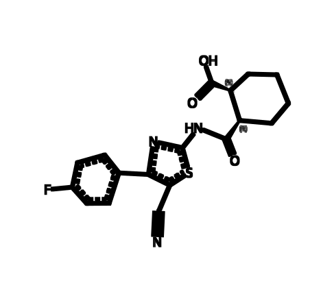 N#Cc1sc(NC(=O)[C@@H]2CCCC[C@@H]2C(=O)O)nc1-c1ccc(F)cc1